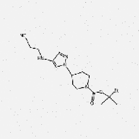 CCC(C)(C)OC(=O)N1CCC(n2cc(NCCC#N)cn2)CC1